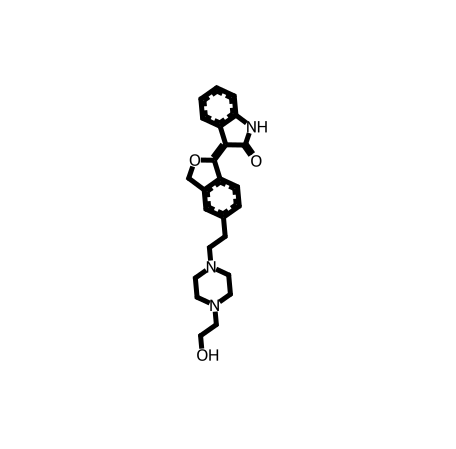 O=C1Nc2ccccc2C1=C1OCc2cc(CCN3CCN(CCO)CC3)ccc21